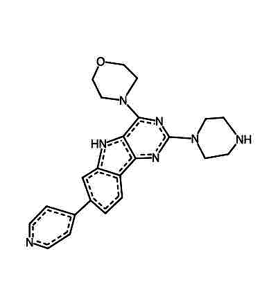 c1cc(-c2ccc3c(c2)[nH]c2c(N4CCOCC4)nc(N4CCNCC4)nc23)ccn1